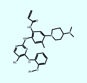 C=CC(=O)Nc1cc(N2CCC(N(C)C)CC2)c(C)cc1Nc1ncc(C#N)c(Nc2ccccc2OC(C)C)n1